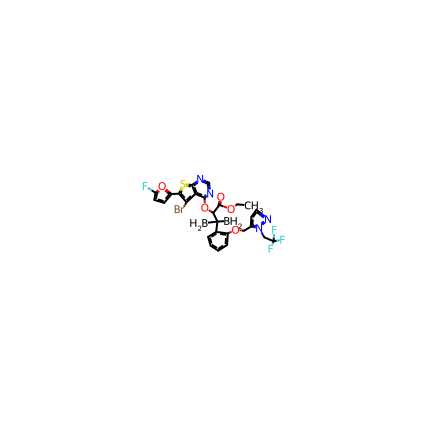 BC(B)(c1ccccc1OCc1ccnn1CC(F)(F)F)C(Oc1ncnc2sc(-c3ccc(F)o3)c(Br)c12)C(=O)OCC